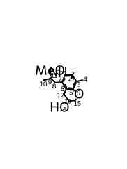 COc1cc(C)c2c(c1CC(C)N)CC(O)CO2